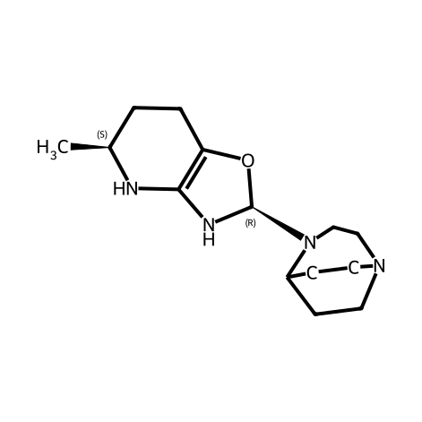 C[C@H]1CCC2=C(N1)N[C@H](N1CCN3CCC1CC3)O2